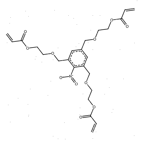 C=CC(=O)OCCOCc1cc(COCCOC(=O)C=C)c([N+](=O)[O-])c(COCCOC(=O)C=C)c1